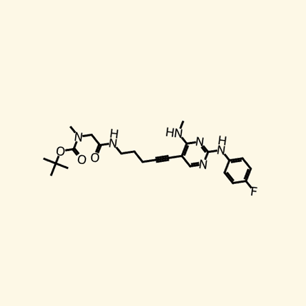 CNc1nc(Nc2ccc(F)cc2)ncc1C#CCCCNC(=O)CN(C)C(=O)OC(C)(C)C